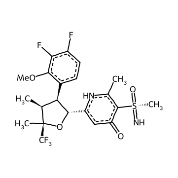 COc1c([C@H]2[C@H](c3cc(=O)c([S@](C)(=N)=O)c(C)[nH]3)O[C@@](C)(C(F)(F)F)[C@H]2C)ccc(F)c1F